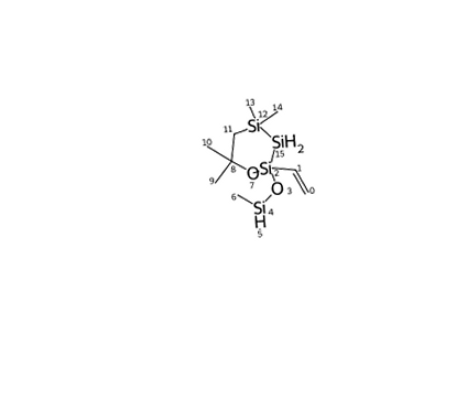 C=C[Si]1(O[SiH](C)C)OC(C)(C)C[Si](C)(C)[SiH2]1